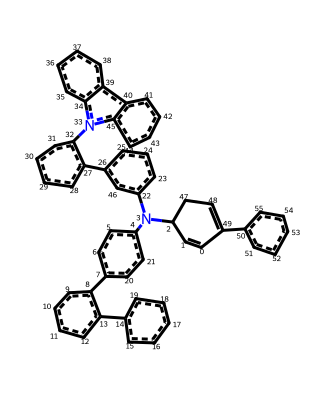 C1=CC(N(c2ccc(-c3ccccc3-c3ccccc3)cc2)c2cccc(-c3ccccc3-n3c4ccccc4c4ccccc43)c2)CC=C1c1ccccc1